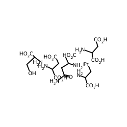 CC(C)CC(N)C(=O)O.NC(=O)CC(N)C(=O)O.NC(CC(=O)O)C(=O)O.NC(CC(=O)O)C(=O)O.NC(CO)C(=O)O